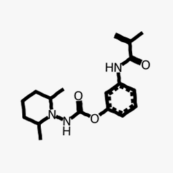 C=C(C)C(=O)Nc1cccc(OC(=O)NN2C(C)CCCC2C)c1